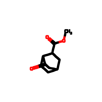 COC(=O)C1CC2CCC1C(=O)C2